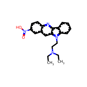 CCN(CC)CCn1c2ccccc2c2nc3ccc([N+](=O)O)cc3cc21